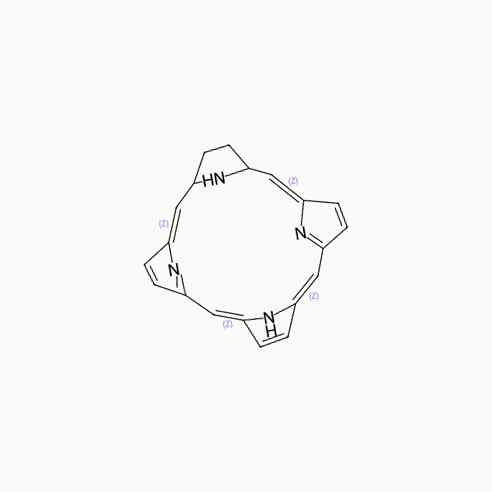 C1=C/C2=C/C3CCC(/C=C4/C=CC(=N4)/C=c4/cc/c([nH]4)=C/C1=N2)N3